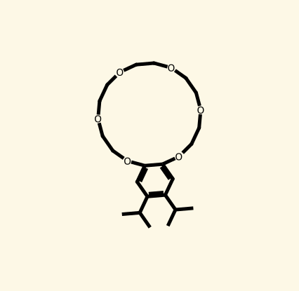 CC(C)c1cc2c(cc1C(C)C)OCCOCCOCCOCCOCCO2